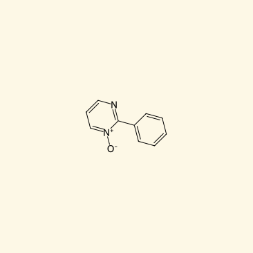 [O-][n+]1cccnc1-c1ccccc1